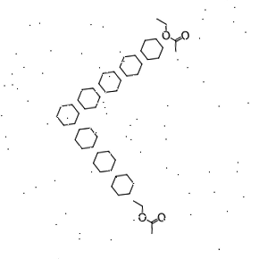 C1CCCCC1.C1CCCCC1.C1CCCCC1.C1CCCCC1.C1CCCCC1.C1CCCCC1.C1CCCCC1.C1CCCCC1.CCOC(C)=O.CCOC(C)=O